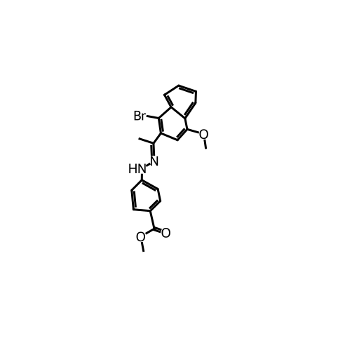 COC(=O)c1ccc(NN=C(C)c2cc(OC)c3ccccc3c2Br)cc1